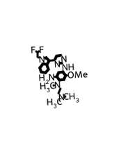 COc1cc(N(C)CCN(C)C)c(N)cc1Nc1nccc(-c2cn(CC(F)F)c3ccccc23)n1